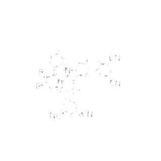 N#Cc1cc(C#N)cc(-c2ccc3c(c2)c2cc(-c4cc(C#N)cc(C#N)c4)ccc2n3-c2ccccc2-c2cccc(F)c2F)c1